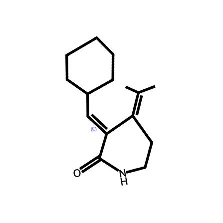 CC(C)=C1CCNC(=O)/C1=C/C1CCCCC1